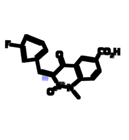 CN1c2ccc(C(=O)O)cc2C(=O)/C(=C\c2cccc(F)c2)[S+]1[O-]